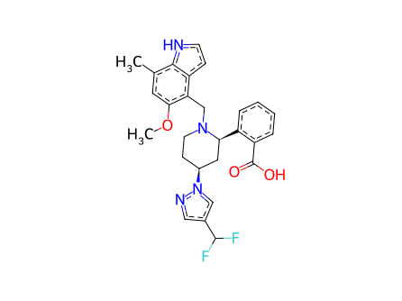 COc1cc(C)c2[nH]ccc2c1CN1CC[C@H](n2cc(C(F)F)cn2)C[C@@H]1c1ccccc1C(=O)O